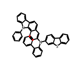 c1ccc(-c2ccccc2N(c2ccc3c(ccc4c5ccccc5n(-c5ccccc5)c34)c2)c2ccc3c(c2)sc2ccccc23)cc1